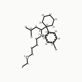 CCOCCCCNC(CC(C)C)C1(c2ccc(C)cc2)CCCCC1